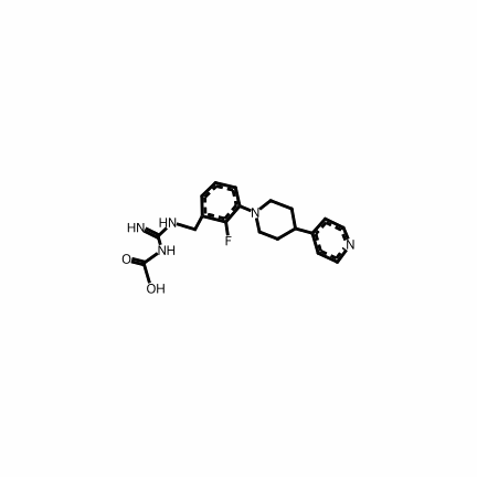 N=C(NCc1cccc(N2CCC(c3ccncc3)CC2)c1F)NC(=O)O